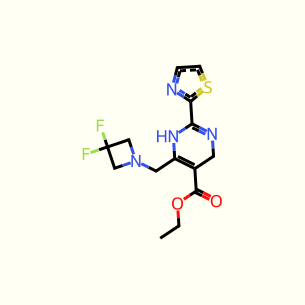 CCOC(=O)C1=C(CN2CC(F)(F)C2)NC(c2nccs2)=NC1